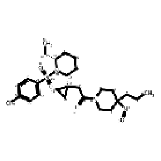 CCCC1(N=O)CCN(C(=O)CC2([C@H]3CCC[C@@H](CC)N3S(=O)(=O)c3ccc(Cl)cc3)CC2)CC1